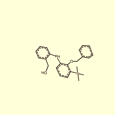 C[Si](C)(C)c1cccc(Pc2ccccc2CO)c1OCc1ccccc1